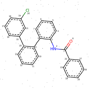 O=C(Nc1ccccc1-c1ccccc1-c1cccc(Cl)c1)c1ccccc1